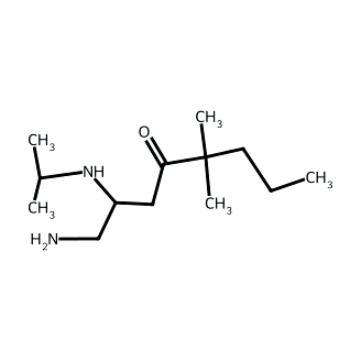 CCCC(C)(C)C(=O)CC(CN)NC(C)C